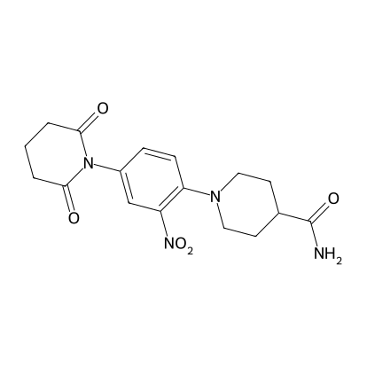 NC(=O)C1CCN(c2ccc(N3C(=O)CCCC3=O)cc2[N+](=O)[O-])CC1